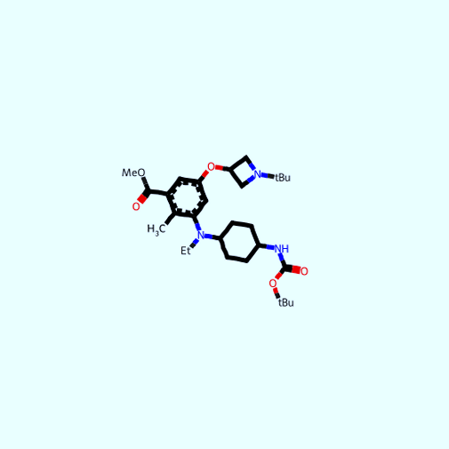 CCN(c1cc(OC2CN(C(C)(C)C)C2)cc(C(=O)OC)c1C)C1CCC(NC(=O)OC(C)(C)C)CC1